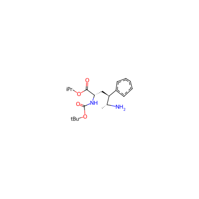 CC(C)OC(=O)[C@H](C[C@@H](c1ccccc1)[C@@H](C)N)NC(=O)OC(C)(C)C